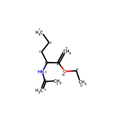 C=C(C)NC(CCC)C(=C)OCC